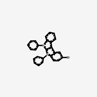 Brc1ccc2c(c1)c1c3ccccc3n(-c3ccccc3)c1n2-c1ccccc1